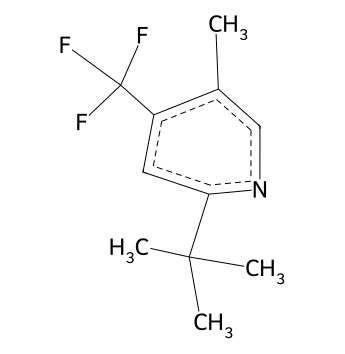 Cc1cnc(C(C)(C)C)cc1C(F)(F)F